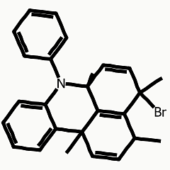 CC1C=CC2(C)C3=C1C(C)(Br)C=CC3(C)N(c1ccccc1)c1ccccc12